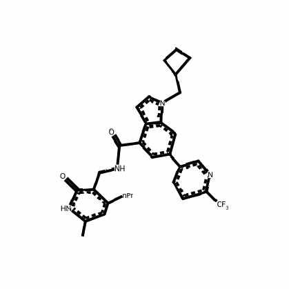 CCCc1cc(C)[nH]c(=O)c1CNC(=O)c1cc(-c2ccc(C(F)(F)F)nc2)cc2c1ccn2CC1CCC1